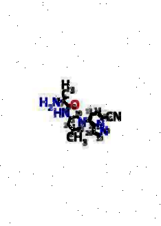 C[C@H]1C[C@@H](NC(=O)[C@H](C)N)CN(c2ccc(C#N)n3nccc23)C1